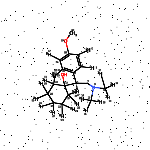 [2H]c1c([2H])c([C@@]([2H])(CN(C([2H])([2H])[2H])C([2H])([2H])[2H])C2(O)C([2H])([2H])C([2H])([2H])C([2H])([2H])C([2H])([2H])C2([2H])[2H])c([2H])c([2H])c1OC